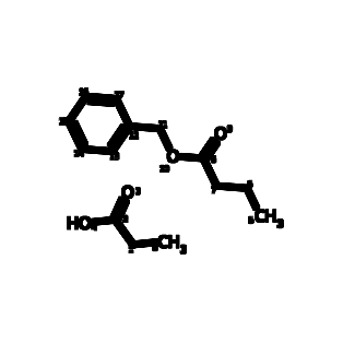 CCC(=O)O.CCCC(=O)OCc1ccccc1